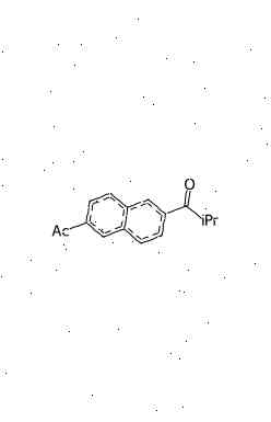 CC(=O)c1ccc2cc(C(=O)C(C)C)ccc2c1